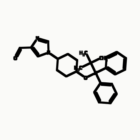 CC(C)(C)[Si](OC1CCC(n2cnc(C=O)c2)CC1)(c1ccccc1)c1ccccc1